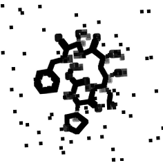 CC(C)C[C@H](NC(=O)C(NC(=O)OC(C)(C)C)[C@@H]1CCOC1)[C@@H](O)C[C@@H](C)C(=O)N[C@@H](C)C(=O)NCc1ccccc1